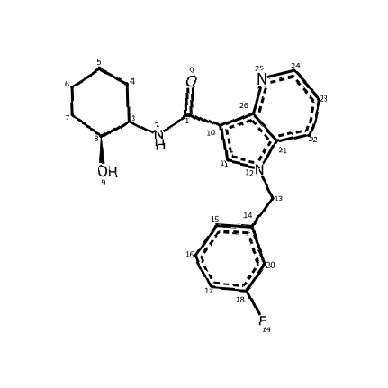 O=C(NC1CCCC[C@@H]1O)c1cn(Cc2cccc(F)c2)c2cccnc12